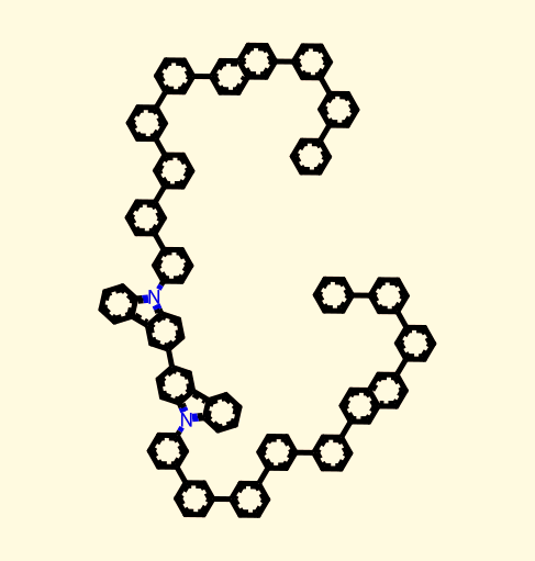 c1ccc(-c2cccc(-c3cccc(-c4ccc5cc(-c6cccc(-c7cccc(-c8cccc(-c9cccc(-c%10cccc(-n%11c%12ccccc%12c%12cc(-c%13ccc%14c(c%13)c%13ccccc%13n%14-c%13cccc(-c%14cccc(-c%15cccc(-c%16cccc(-c%17cccc(-c%18ccc%19cc(-c%20cccc(-c%21cccc(-c%22ccccc%22)c%21)c%20)ccc%19c%18)c%17)c%16)c%15)c%14)c%13)ccc%12%11)c%10)c9)c8)c7)c6)ccc5c4)c3)c2)cc1